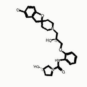 O=C(Nc1ccccc1OC[C@@H](O)CN1CCC2(CC1)Cc1cc(Cl)ccc1O2)N1CC[C@H](O)C1